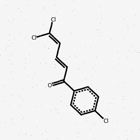 O=C(/C=C/C=C(Cl)Cl)c1ccc(Cl)cc1